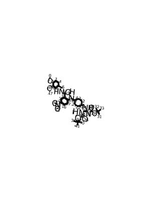 COc1ccc(CNC(=O)c2cc([N+](=O)[O-])ccc2NC2CCC(N/C(=N\C(=O)OC(C)(C)C)NC(=O)OC(C)(C)C)CC2)cc1OC